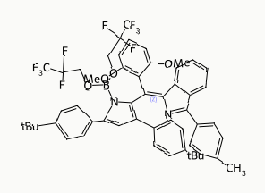 COc1cccc(OC)c1/C(=C1/N=C(c2ccc(C)cc2)c2ccccc21)c1c(-c2ccc(C(C)(C)C)cc2)cc(-c2ccc(C(C)(C)C)cc2)n1B(OCC(F)(F)C(F)(F)F)OCC(F)(F)C(F)(F)F